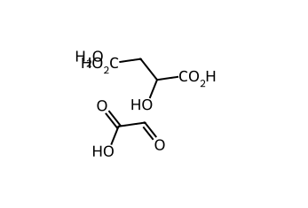 O.O=C(O)CC(O)C(=O)O.O=CC(=O)O